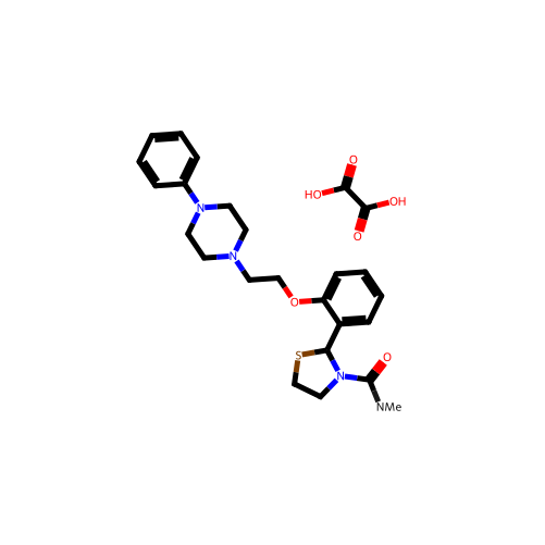 CNC(=O)N1CCSC1c1ccccc1OCCN1CCN(c2ccccc2)CC1.O=C(O)C(=O)O